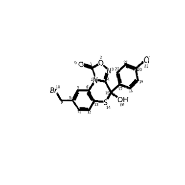 O=c1onc2n1-c1cc(CBr)ccc1SC2(O)c1ccc(Cl)cc1